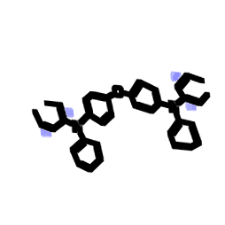 C/C=C\C(=C/C)N(c1ccccc1)c1ccc(Oc2ccc(N(C(/C=C\C)=C/C)c3ccccc3)cc2)cc1